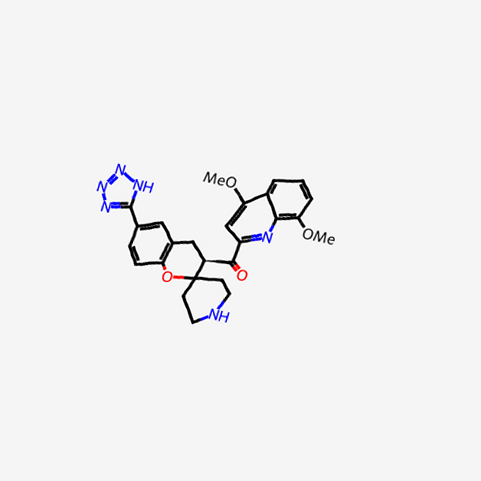 COc1cc(C(=O)[C@@H]2Cc3cc(-c4nnn[nH]4)ccc3OC23CCNCC3)nc2c(OC)cccc12